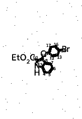 CCOC(=O)c1[nH]c2ccccc2c1Oc1ccc(Br)cc1